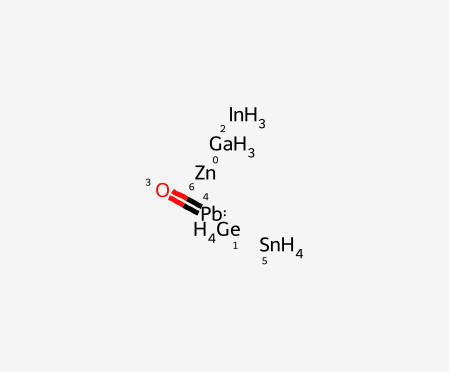 [GaH3].[GeH4].[InH3].[O]=[Pb].[SnH4].[Zn]